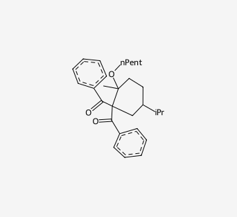 CCCCCOC1(C)CCC(C(C)C)CC1(C(=O)c1ccccc1)C(=O)c1ccccc1